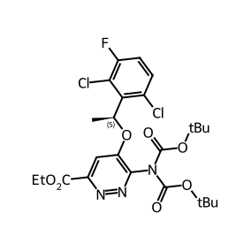 CCOC(=O)c1cc(O[C@@H](C)c2c(Cl)ccc(F)c2Cl)c(N(C(=O)OC(C)(C)C)C(=O)OC(C)(C)C)nn1